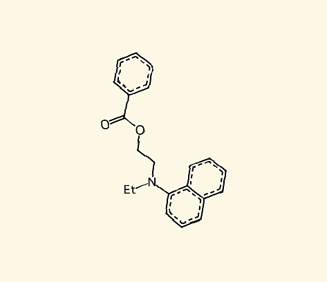 CCN(CCOC(=O)c1ccccc1)c1cccc2ccccc12